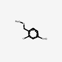 COOCc1ccc(C=O)cc1Cl